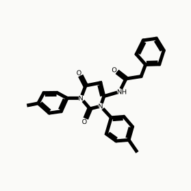 Cc1ccc(-n2c(NC(=O)Cc3ccccc3)cc(=O)n(-c3ccc(C)cc3)c2=O)cc1